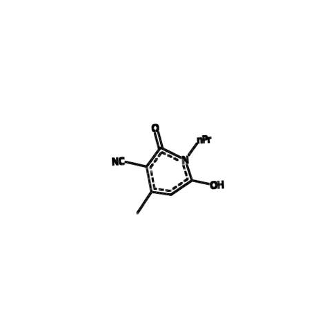 CCCn1c(O)cc(C)c(C#N)c1=O